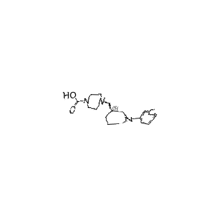 O=C(O)N1CCN(C[C@@H]2CCCN(c3ccccc3)C2)CC1